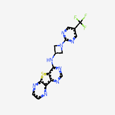 FC(F)(F)c1cnc(N2CC(Nc3ncnc4c3sc3nccnc34)C2)nc1